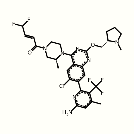 Cc1cc(N)nc(-c2cc3nc(OC[C@@H]4CCCN4C)nc(N4CCN(C(=O)/C=C/C(F)F)C[C@@H]4C)c3cc2Cl)c1C(F)(F)F